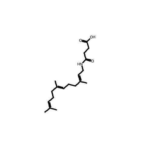 CC(C)=CCCC(C)=CCCC(C)=CCNC(=O)CCC(=O)O